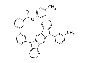 Cc1ccc(OC(=O)c2cccc(-c3cccc(-n4c5ccccc5c5cc6c(cc54)c4ccccc4n6-c4cccc(C)c4)c3)c2)cc1